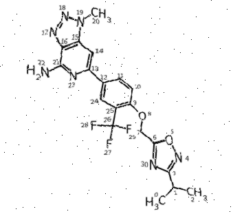 CC(C)c1noc(COc2ccc(-c3cc4c(nnn4C)c(N)n3)cc2C(F)(F)F)n1